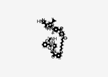 CN[C@@H](C)C(=O)N[C@H](C(=O)N1CCC[C@H]1c1nc(C(=O)c2cccc(OCCCCCCCC(=O)N3CCN(C(=O)c4ccc(Nc5nc(C6CC6)cn6c(-c7cn[nH]c7)cnc56)c(F)c4)CC3)c2)cs1)C1CCCCC1